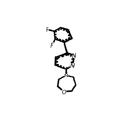 Fc1cccc(-c2ccc(N3CCCOCC3)nn2)c1F